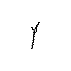 CCCCCCCCCCCCCN1C=CN(CCCCCC)C1CCC